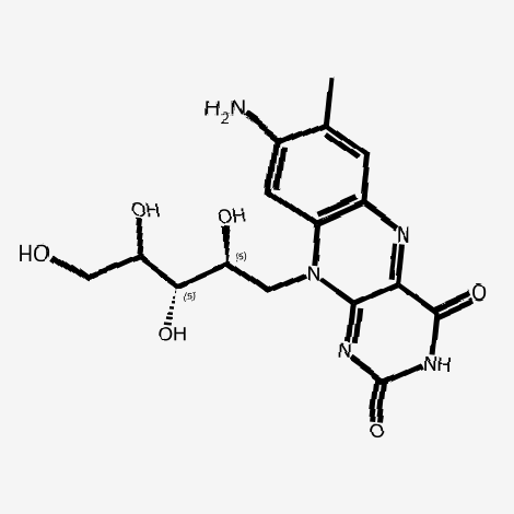 Cc1cc2nc3c(=O)[nH]c(=O)nc-3n(C[C@H](O)[C@H](O)C(O)CO)c2cc1N